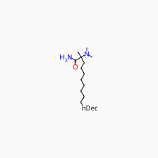 CCCCCCCCCCCCCCCCCCC(C)(C(N)=O)N(C)C